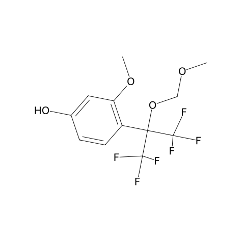 COCOC(c1ccc(O)cc1OC)(C(F)(F)F)C(F)(F)F